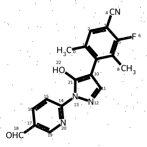 Cc1cc(C#N)c(F)c(C)c1-c1cnn(-c2ccc(C=O)cn2)c1O